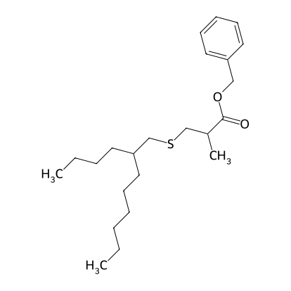 CCCCCCC(CCCC)CSCC(C)C(=O)OCc1ccccc1